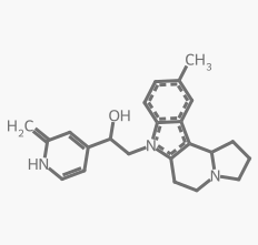 C=C1C=C(C(O)Cn2c3c(c4cc(C)ccc42)C2CCCN2CC3)C=CN1